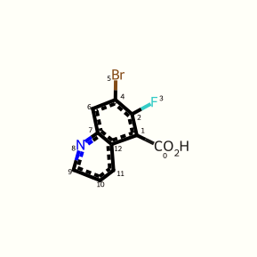 O=C(O)c1c(F)c(Br)cc2ncccc12